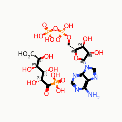 Nc1ncnc2c1ncn2[C@@H]1O[C@H](COP(=O)(O)OP(=O)(O)O)[C@@H](O)[C@H]1O.O=C(O)[C@@H](O)[C@H](O)[C@H](O)[C@@H](O)C(=O)P(=O)(O)O